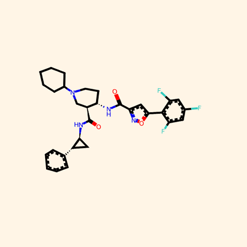 O=C(N[C@H]1CCN(C2CCCCC2)C[C@@H]1C(=O)N[C@H]1C[C@@H]1c1ccccc1)c1cc(-c2c(F)cc(F)cc2F)on1